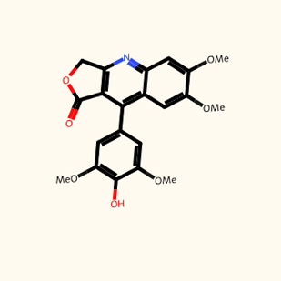 COc1cc2nc3c(c(-c4cc(OC)c(O)c(OC)c4)c2cc1OC)C(=O)OC3